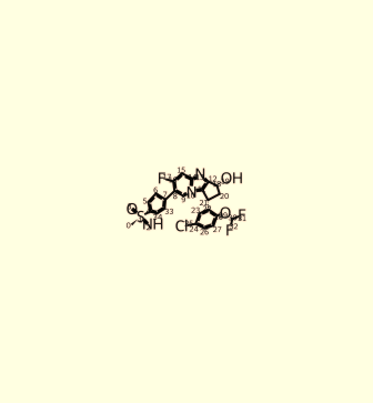 C[S@@](=N)(=O)c1ccc(-c2cn3c4c(nc3cc2F)[C@H](O)C[C@@H]4c2cc(Cl)ccc2OC(F)F)cc1